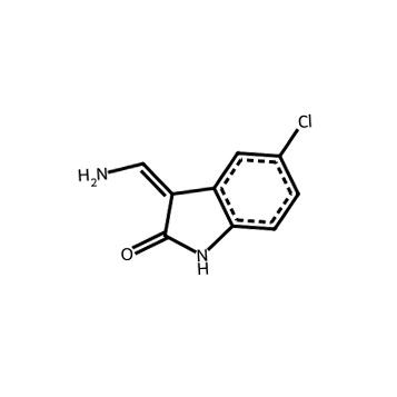 NC=C1C(=O)Nc2ccc(Cl)cc21